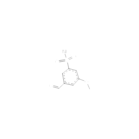 COc1cc(C=O)cc(S(N)(=O)=O)c1